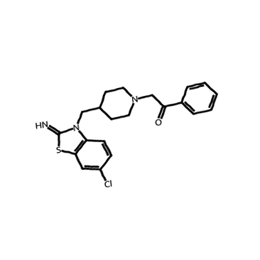 N=c1sc2cc(Cl)ccc2n1CC1CCN(CC(=O)c2ccccc2)CC1